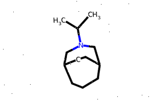 CC(C)N1CC2CCCC(CC2)C1